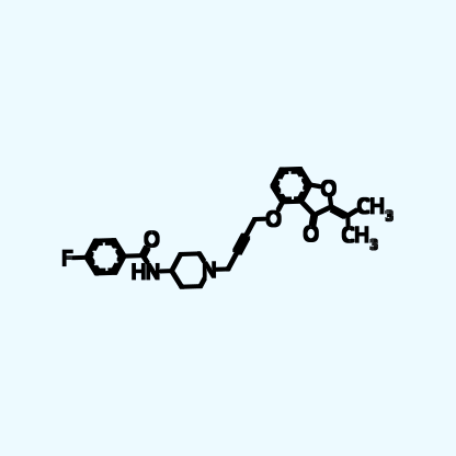 CC(C)=C1Oc2cccc(OCC#CCN3CCC(NC(=O)c4ccc(F)cc4)CC3)c2C1=O